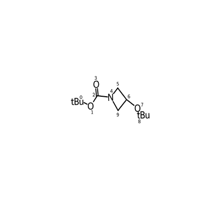 CC(C)(C)OC(=O)N1CC(OC(C)(C)C)C1